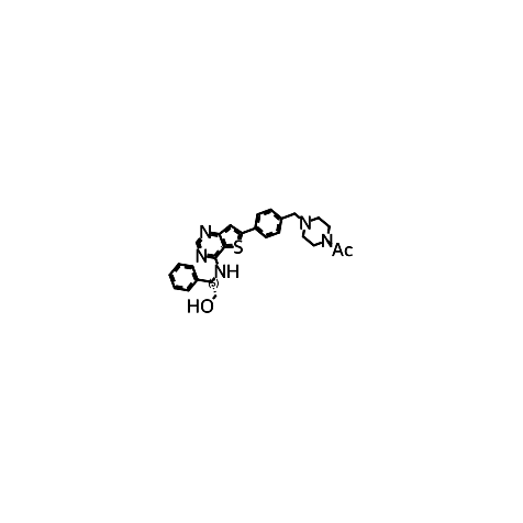 CC(=O)N1CCN(Cc2ccc(-c3cc4ncnc(N[C@H](CO)c5ccccc5)c4s3)cc2)CC1